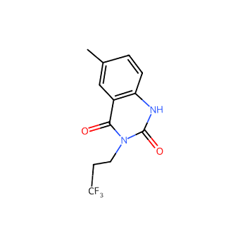 Cc1ccc2[nH]c(=O)n(CCC(F)(F)F)c(=O)c2c1